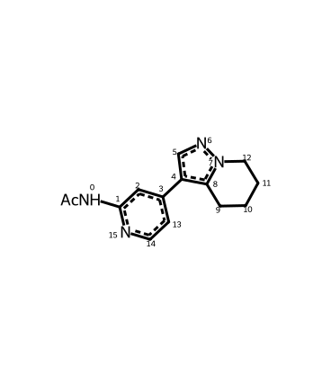 CC(=O)Nc1cc(-c2cnn3c2CCCC3)ccn1